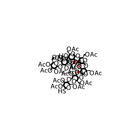 CC(=O)OC[C@H]1O[C@@H](S)[C@H](OC(C)=O)[C@@H](OC(C)=O)[C@@H]1O[C@@H]1O[C@H](COC(C)=O)[C@@H](O[C@@H]2O[C@H](COC(C)=O)[C@@H](O[C@@H]3O[C@H](COC(C)=O)[C@@H](O[C@@H]4O[C@H](COC(C)=O)[C@](O)([C@@H]5O[C@H](COC(C)=O)[C@@H](O[C@@H]6O[C@H](COC(C)=O)[C@@H](OC(C)=O)[C@H](OC(C)=O)[C@H]6OC(C)=O)[C@H](OC(C)=O)[C@H]5OC(C)=O)[C@H](OC(C)=O)[C@H]4OC(C)=O)[C@H](OC(C)=O)[C@H]3OC(C)=O)[C@H](OC(C)=O)[C@H]2OC(C)=O)[C@H](OC(C)=O)[C@H]1OC(C)=O